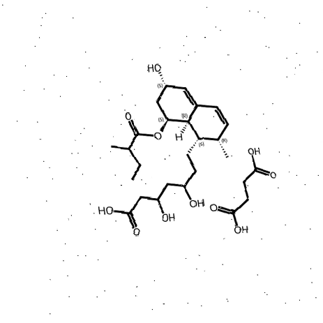 CCC(C)C(=O)O[C@H]1C[C@H](O)C=C2C=C[C@H](C)[C@H](CCC(O)CC(O)CC(=O)O)[C@H]21.O=C(O)CCC(=O)O